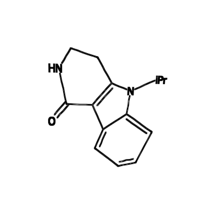 CC(C)n1c2c(c3ccccc31)C(=O)NCC2